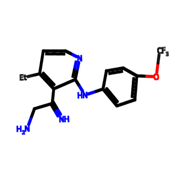 CCc1ccnc(Nc2ccc(OC(F)(F)F)cc2)c1C(=N)CN